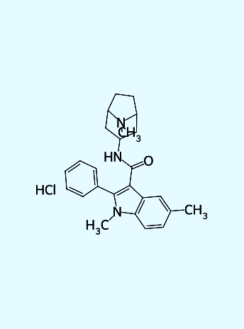 Cc1ccc2c(c1)c(C(=O)NC1CC3CCC(C1)N3C)c(-c1ccccc1)n2C.Cl